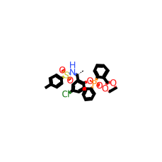 Cc1ccc(S(=O)(=O)N[C@H](C)c2cc(Cl)ccc2O[P@@](=O)(c2ccccc2)c2ccccc2C2OCCO2)cc1